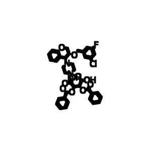 Fc1cc(Cl)cc(CO[C@H]2COc3ccccc3[C@@H]2N2CCNCC2)c1.O=C(OC(C(=O)O)C(OC(=O)c1ccccc1)C(=O)O)c1ccccc1